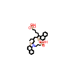 CCC(=C/c1sc2ccc3ccccc3c2c1CCCCS(=O)(=O)O)/C=C1\Sc2ccc3ccccc3c2N1CCCS(=O)(=O)O